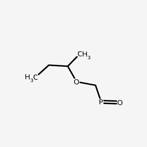 CCC(C)OCP=O